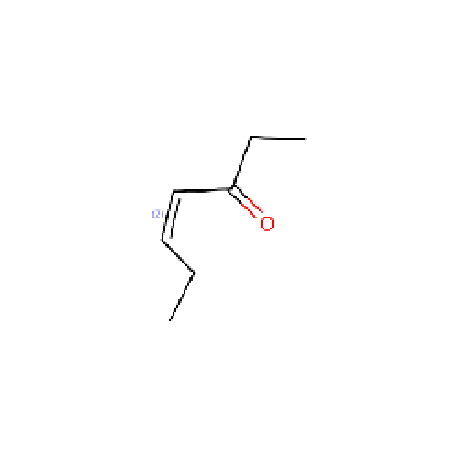 CC/C=C\C(=O)CC